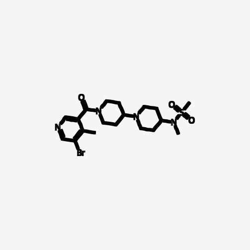 Cc1c(Br)cncc1C(=O)N1CCC(N2CCC(N(C)S(C)(=O)=O)CC2)CC1